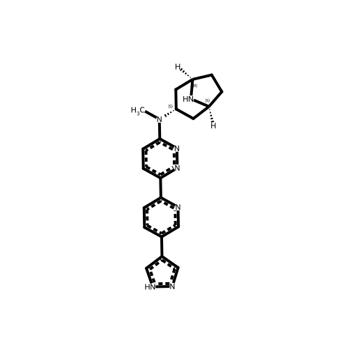 CN(c1ccc(-c2ccc(-c3cn[nH]c3)cn2)nn1)[C@@H]1C[C@H]2CC[C@@H](C1)N2